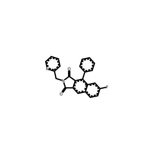 O=C1c2cc3ccc(F)cc3c(-c3ccccc3)c2C(=O)N1Cc1ccccn1